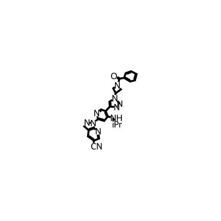 CC(C)Nc1cc(-n2ncc3cc(C#N)cnc32)ncc1-c1cn(C2CN(C(=O)c3ccccc3)C2)nn1